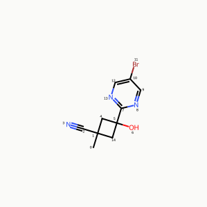 CC1(C#N)CC(O)(c2ncc(Br)cn2)C1